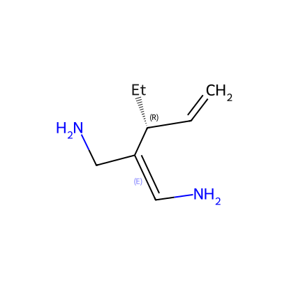 C=C[C@@H](CC)/C(=C\N)CN